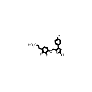 CCc1ccc(-c2cc(Cl)sc2COc2ccc(CCC(=O)O)c(F)c2F)cc1